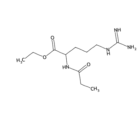 CCOC(=O)C(CCCNC(=N)N)NC(=O)CC